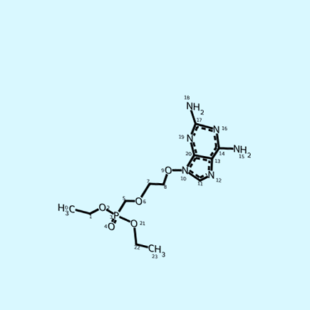 CCOP(=O)(COCCOn1cnc2c(N)nc(N)nc21)OCC